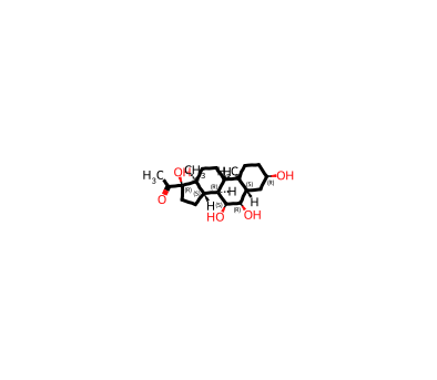 CC(=O)[C@@]1(O)CC[C@H]2[C@@H]3[C@H](O)[C@H](O)[C@H]4C[C@H](O)CC[C@]4(C)[C@H]3CC[C@@]21C